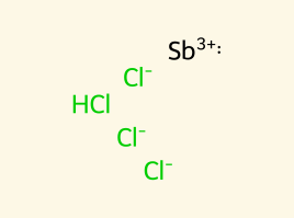 Cl.[Cl-].[Cl-].[Cl-].[Sb+3]